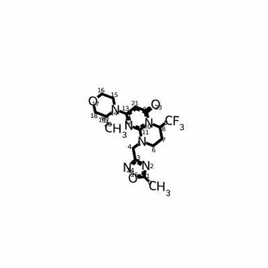 Cc1nc(CN2CCC(C(F)(F)F)n3c2nc(N2CCOC[C@H]2C)cc3=O)no1